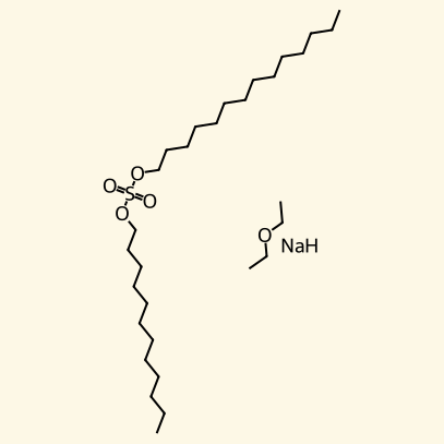 CCCCCCCCCCCCCCOS(=O)(=O)OCCCCCCCCCCCC.CCOCC.[NaH]